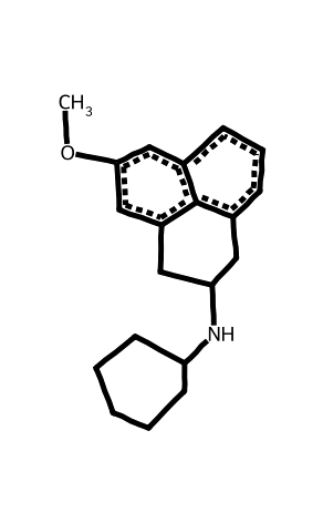 COc1cc2c3c(cccc3c1)CC(NC1CCCCC1)C2